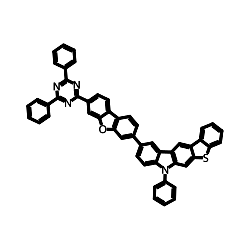 c1ccc(-c2nc(-c3ccccc3)nc(-c3ccc4c(c3)oc3cc(-c5ccc6c(c5)c5cc7c(cc5n6-c5ccccc5)sc5ccccc57)ccc34)n2)cc1